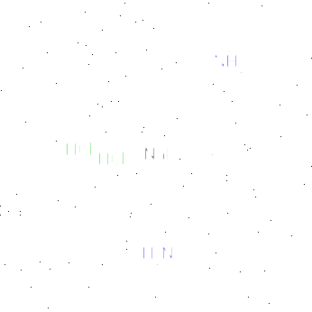 Cl.Cl.NCCCCN.[NaH]